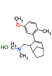 COc1ccc(C)c(C2=CC3CCC(C3)C2CN(C)C)c1.Cl